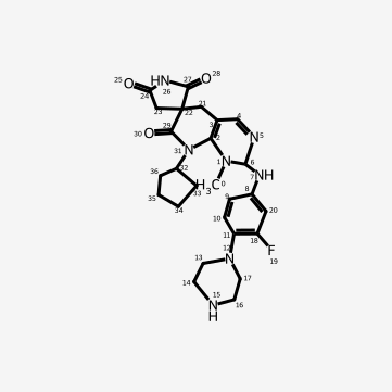 CN1C2=C(C=NC1Nc1ccc(N3CCNCC3)c(F)c1)CC1(CC(=O)NC1=O)C(=O)N2C1CCCC1